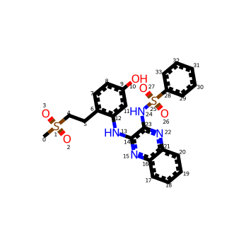 CS(=O)(=O)CCc1ccc(O)cc1Nc1nc2ccccc2nc1NS(=O)(=O)c1ccccc1